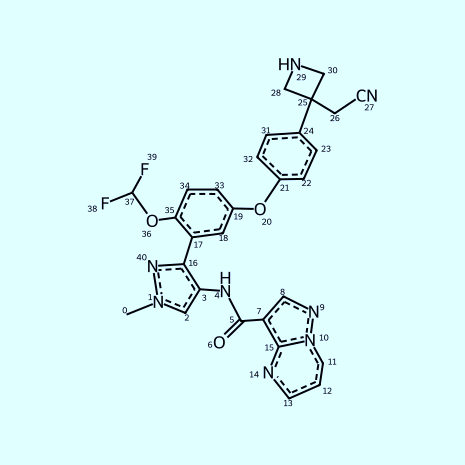 Cn1cc(NC(=O)c2cnn3cccnc23)c(-c2cc(Oc3ccc(C4(CC#N)CNC4)cc3)ccc2OC(F)F)n1